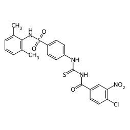 Cc1cccc(C)c1NS(=O)(=O)c1ccc(NC(=S)NC(=O)c2ccc(Cl)c([N+](=O)[O-])c2)cc1